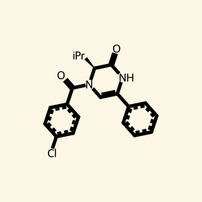 CC(C)[C@H]1C(=O)NC(c2ccccc2)=CN1C(=O)c1ccc(Cl)cc1